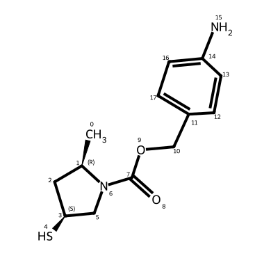 C[C@@H]1C[C@H](S)CN1C(=O)OCc1ccc(N)cc1